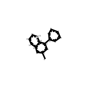 Cc1cc(-c2ccccc2)c2ncccc2c1